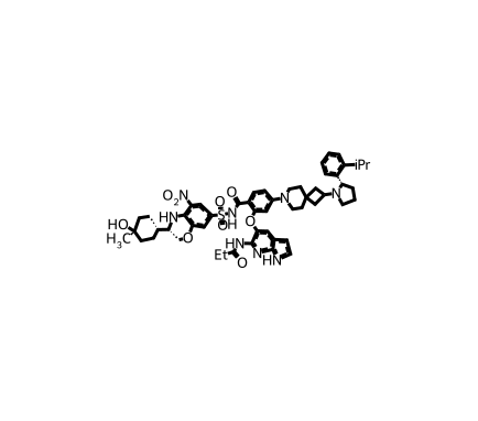 CCC(=O)Nc1nc2[nH]ccc2cc1Oc1cc(N2CCC3(CC2)CC(N2CCC[C@H]2c2ccccc2C(C)C)C3)ccc1C(=O)NS(=O)(=O)c1cc2c(c([N+](=O)[O-])c1)N[C@@H]([C@H]1CC[C@](C)(O)CC1)CO2